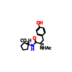 CC(=O)N[C@@H](Cc1ccc(O)cc1)C(=O)NC1(C(=O)O)CCCC1